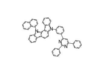 c1ccc(-c2cc(-c3cccc(-n4c5ccccc5c5c4ccc4c6ccccc6n(-c6cccc7ccccc67)c45)c3)nc(-c3ccccc3)n2)cc1